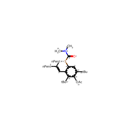 CCCCCC(=Cc1c(SC(=O)N(C)C)cc(C(C)(C)C)c(OC(C)=O)c1C(C)(C)C)CCCCC